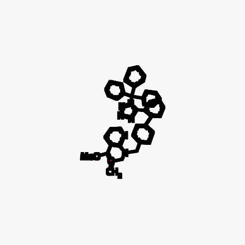 C=CCN(Cc1ccc(-c2ccccc2-c2nnnn2C(c2ccccc2)(c2ccccc2)c2ccccc2)cc1)c1ncccc1C(=O)OC